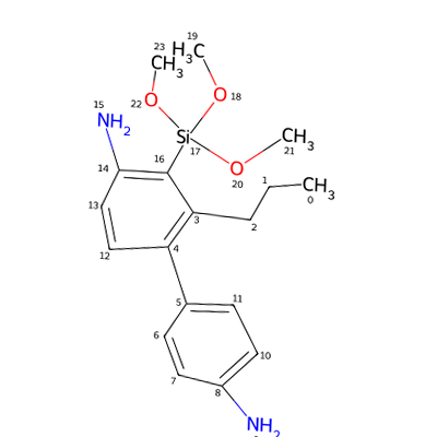 CCCc1c(-c2ccc(N)cc2)ccc(N)c1[Si](OC)(OC)OC